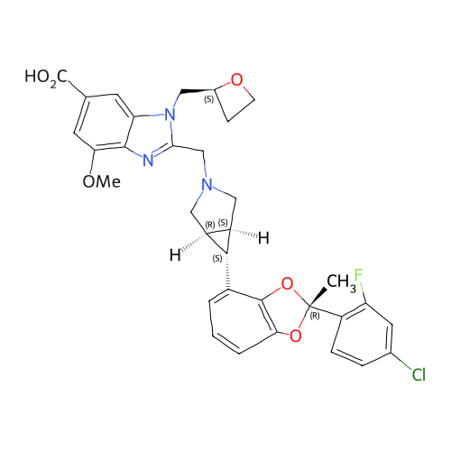 COc1cc(C(=O)O)cc2c1nc(CN1C[C@@H]3[C@H](C1)[C@H]3c1cccc3c1O[C@](C)(c1ccc(Cl)cc1F)O3)n2C[C@@H]1CCO1